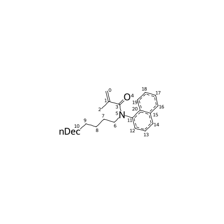 C=C(C)C(=O)N(CCCCCCCCCCCCCC)c1cccc2ccccc12